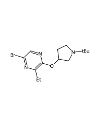 CCc1nc(Br)cnc1OC1CCN(C(C)(C)C)C1